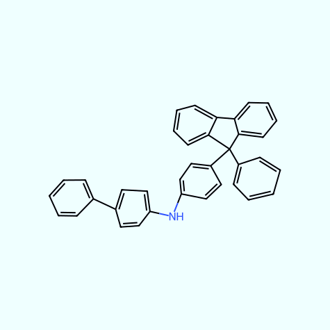 c1ccc(-c2ccc(Nc3ccc(C4(c5ccccc5)c5ccccc5-c5ccccc54)cc3)cc2)cc1